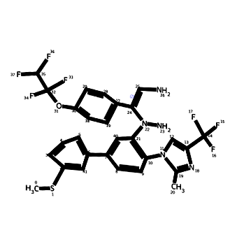 CSc1cccc(-c2ccc(-n3cc(C(F)(F)F)nc3C)c(N(N)/C(=C\N)c3ccc(OC(F)(F)C(F)F)cc3)c2)c1